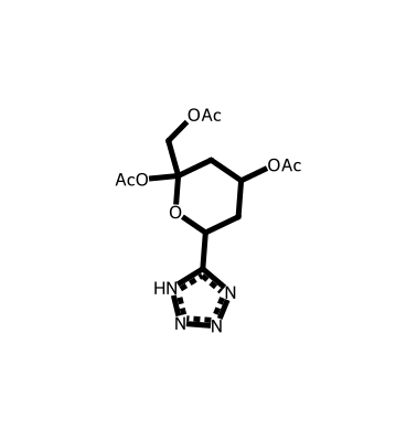 CC(=O)OCC1(OC(C)=O)CC(OC(C)=O)CC(c2nnn[nH]2)O1